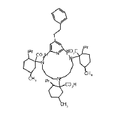 CC1CCC(C(C)C)C(C(=O)O)(N2CCCN(C3(C(=O)O)CC(C)CCC3C(C)C)Cc3cc(CCc4ccccc4)cc(n3)CN(C3(C(=O)O)CC(C)CCC3C(C)C)CCC2)C1